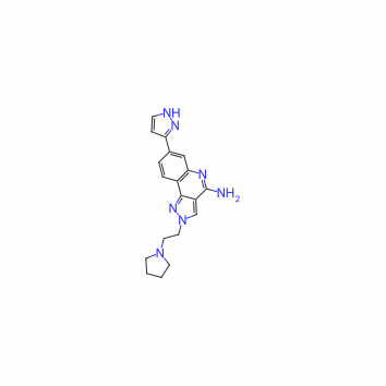 Nc1nc2cc(-c3cc[nH]n3)ccc2c2nn(CCN3CCCC3)cc12